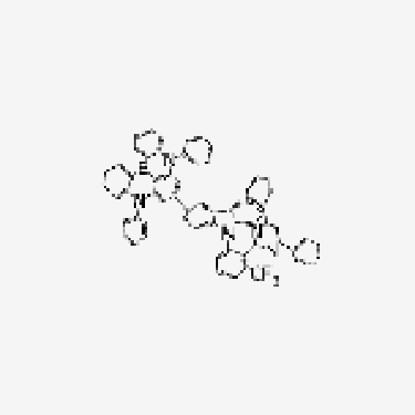 FC(F)(F)c1cccc(-n2c3ccccc3c3cc(-c4cc5c6c(c4)N(c4ccccc4)c4ccccc4B6c4ccccc4N5c4ccccc4)ccc32)c1-c1nc(-c2ccccc2)cc(-c2ccccc2)n1